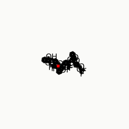 CC(c1cc(Cc2c(OC(=O)c3ccc(Cc4c(O)c5ccccc5oc4=O)cc3C(C(F)(F)F)C(F)(F)F)c3ccccc3oc2=O)ccc1C(=O)Oc1c(Cc2ccc(C(=O)OC(CF)CF)cc2)c(=O)oc2ccccc12)C(F)(F)F